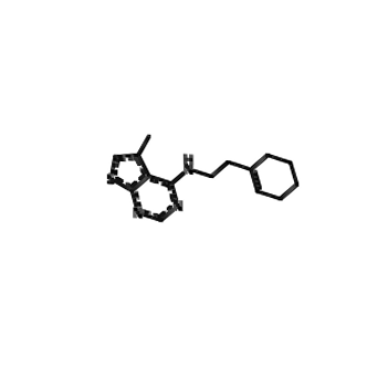 Cc1csc2ncnc(NCCC3=CCCCC3)c12